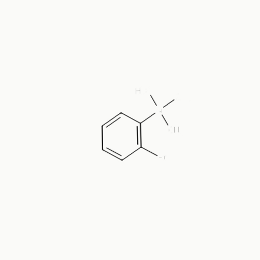 CCc1[c]cccc1[Si](C)(C)C